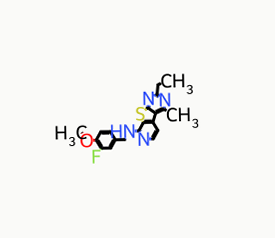 CCc1nc(C)c2c(n1)sc1c(NCc3ccc(OC)c(F)c3)nccc12